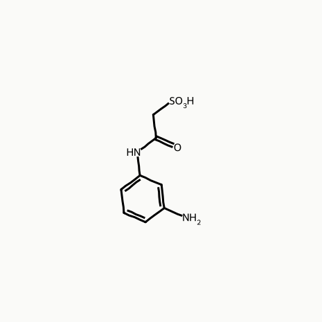 Nc1cccc(NC(=O)CS(=O)(=O)O)c1